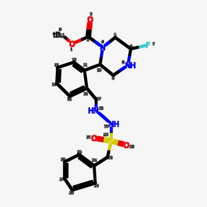 CC(C)(C)OC(=O)N1CC(F)NCC1c1ccccc1CNNS(=O)(=O)Cc1ccccc1